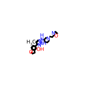 CC1=CN(N[C@@H]2CCCN(CCc3ncco3)C2)NN=C1c1ccc2c(c1O)CCO2